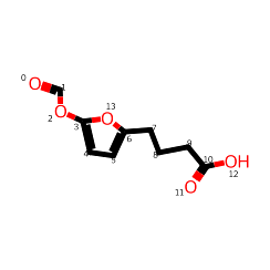 O=COc1ccc(CCCC(=O)O)o1